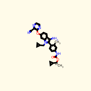 Cc1cc(NC(=O)O[C@H](C)C2CC2)ccc1-c1c(N)c2ccc(Oc3nccnc3C#N)cc2n1CC1CC1